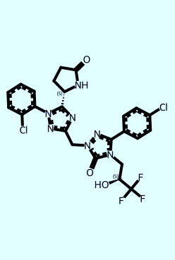 O=C1CC[C@@H](c2nc(Cn3nc(-c4ccc(Cl)cc4)n(C[C@H](O)C(F)(F)F)c3=O)nn2-c2ccccc2Cl)N1